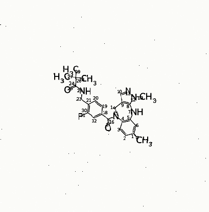 Cc1ccc2c(c1)Nc1c(cnn1C)CN2C(=O)c1ccc(CNC(=O)C(C)(C)C)c(F)c1